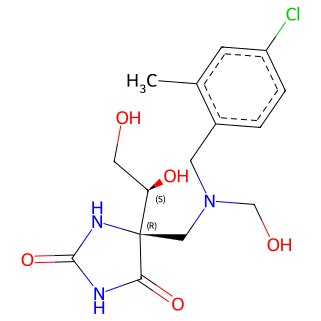 Cc1cc(Cl)ccc1CN(CO)C[C@]1([C@H](O)CO)NC(=O)NC1=O